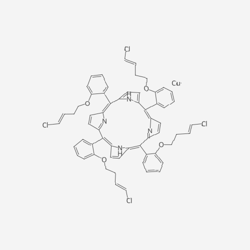 ClC=CCCOc1ccccc1-c1c2nc(c(-c3ccccc3OCCC=CCl)c3ccc([nH]3)c(-c3ccccc3OCCC=CCl)c3nc(c(-c4ccccc4OCCC=CCl)c4ccc1[nH]4)C=C3)C=C2.[Cu]